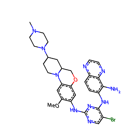 COc1cc2c(cc1Nc1ncc(Br)c(Nc3ccc4nccnc4c3N)n1)OCC1CC(N3CCN(C)CC3)CCN21